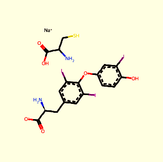 NC(CS)C(=O)O.N[C@@H](Cc1cc(I)c(Oc2ccc(O)c(I)c2)c(I)c1)C(=O)[O-].[Na+]